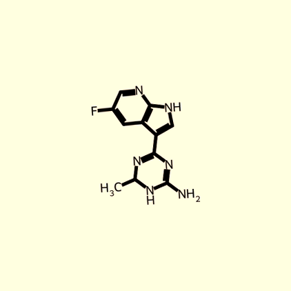 CC1N=C(c2c[nH]c3ncc(F)cc23)N=C(N)N1